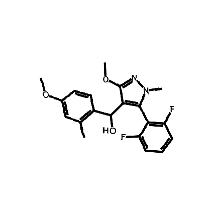 COc1ccc(C(O)c2c(OC)nn(C)c2-c2c(F)cccc2F)c(C)c1